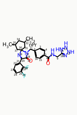 CCC[C@H](c1ccc(C(=O)NCC2=NNNN2)cc1)N1C(=O)C(c2cccc(F)c2F)=NC12CC(C)CC(C)C2